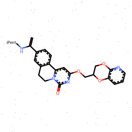 C=C(NC(C)CCC)c1ccc2c(c1)CCn1c-2cc(OCC2COc3ncccc3O2)nc1=O